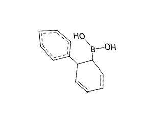 OB(O)C1C=CC=CC1c1ccccc1